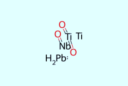 [O]=[Nb].[O]=[Ti]=[O].[PbH2].[Ti]